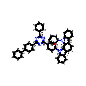 C1=CCC(n2c3ccccc3c3ccc4c5ccccc5n(-c5ccc(-c6nc(-c7ccccc7)nc(-c7ccc(-c8ccccc8)cc7)n6)cc5)c4c32)C=C1